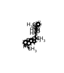 CC[C@H]1CC2C3CCC([C@H](C)CCNC(=O)NS(=O)(=O)c4ccccc4C)[C@@]3(C)CCC2[C@@]2(C)CCC[C@H](F)[C@@H]12